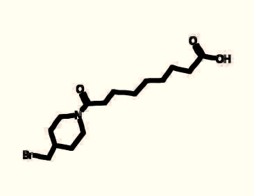 O=C(O)CCCCCCCC(=O)N1CCC(CBr)CC1